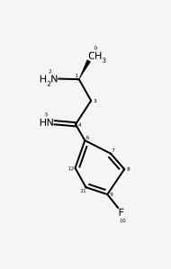 C[C@H](N)CC(=N)c1ccc(F)cc1